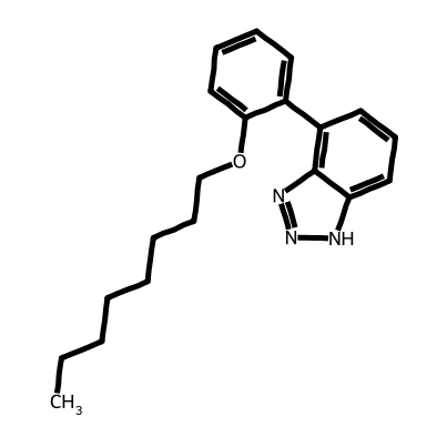 CCCCCCCCOc1ccccc1-c1cccc2[nH]nnc12